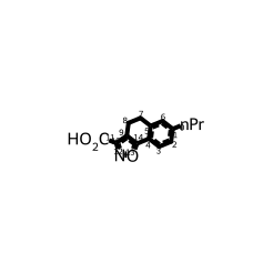 CCCc1ccc2c(c1)CCc1c(C(=O)O)noc1-2